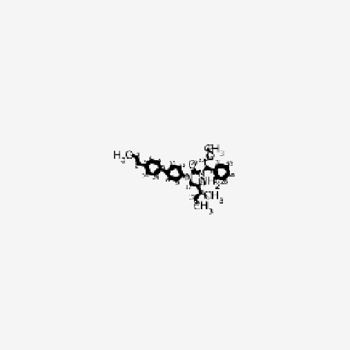 CCCc1ccc(-c2ccc(N(C[C@@H](N)[C@@H](C)CC)C(=O)N[C@@H](COC)c3ccccc3)cc2)cc1